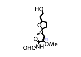 CO/C(=C/N(C)C1CCC(CCO)O1)C(=O)NC=O